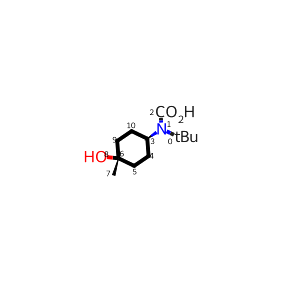 CC(C)(C)N(C(=O)O)[C@H]1CC[C@](C)(O)CC1